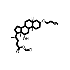 CC(C)CCO[C@@H]1CC[C@]2(C)C3C[C@H](O)[C@@]4(C)C(CCC4[C@H](C)CCC(=O)OCCl)C3CC[C@@H]2C1